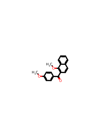 COc1ccc(C(=O)c2ccc3ccccc3c2OC)cc1